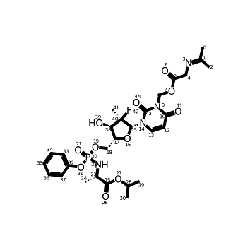 CC(C)=NCC(=O)OCn1c(=O)ccn([C@@H]2O[C@H](COP(=O)(N[C@@H](C)C(=O)OC(C)C)Oc3ccccc3)[C@@H](O)[C@@]2(C)F)c1=O